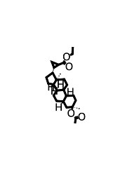 CCOC(=O)C1CC1[C@H]1CC[C@H]2[C@@H]3CC[C@@H]4C[C@](C)(OC(C)=O)CC[C@@H]4[C@H]3CC[C@]12C